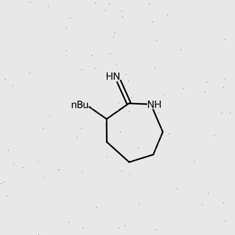 CCCCC1CCCCNC1=N